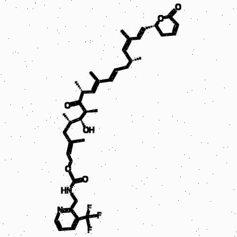 CC(=C/[C@H](C)C/C=C/C(C)=C/[C@@H](C)C(=O)[C@@H](C)[C@H](O)[C@@H](C)C/C(C)=C/COC(=O)NCc1ncccc1C(F)(F)F)/C=C/[C@H]1CC=CC(=O)O1